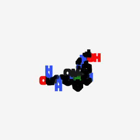 COc1nc(-c2cccc(-c3ccnc(-c4ccc5c(c4)N(C)CCN(C[C@@H](C)O)C5)c3Cl)c2Cl)ccc1CNC[C@H]1CCC(=O)N1